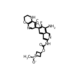 Cc1c(-c2cc3cc(NC(=O)OC4CN([S+](C)[O-])C4)ncc3c(N)c2F)cnc2c1NCCO2